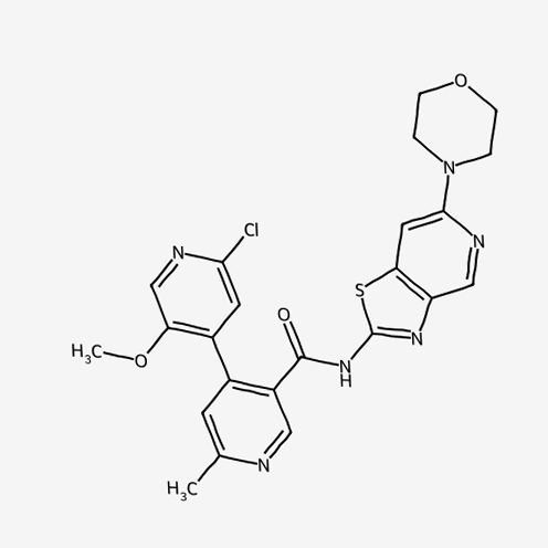 COc1cnc(Cl)cc1-c1cc(C)ncc1C(=O)Nc1nc2cnc(N3CCOCC3)cc2s1